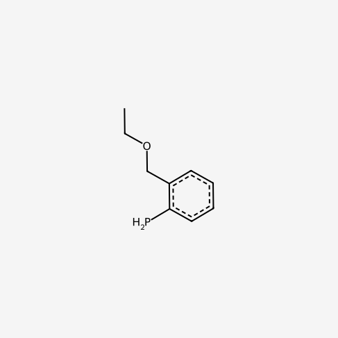 CCOCc1ccccc1P